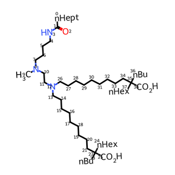 CCCCCCCC(=O)NCCCCN(C)CCN(CCCCCCCCCC(CCCC)(CCCCCC)C(=O)O)CCCCCCCCCC(CCCC)(CCCCCC)C(=O)O